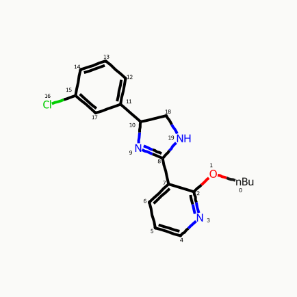 CCCCOc1ncccc1C1=NC(c2cccc(Cl)c2)CN1